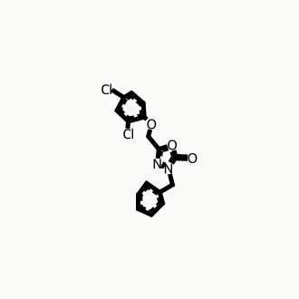 O=c1oc(COc2ccc(Cl)cc2Cl)nn1Cc1ccccc1